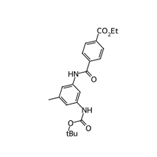 CCOC(=O)c1ccc(C(=O)Nc2cc(C)cc(NC(=O)OC(C)(C)C)c2)cc1